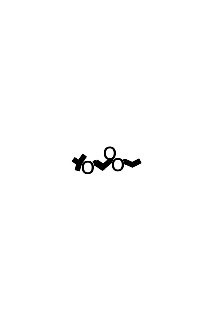 CCCOC(=O)C=COC(C)(C)C